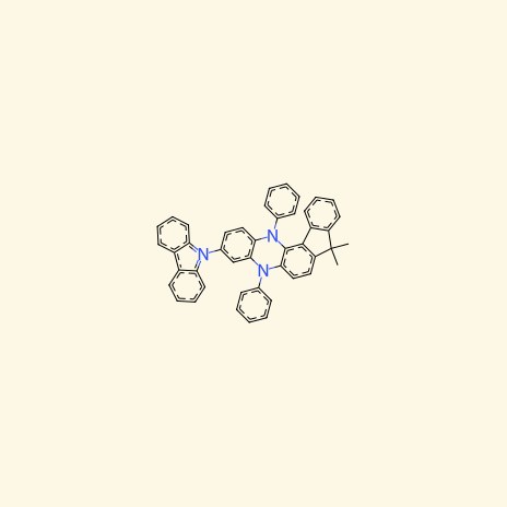 CC1(C)c2ccccc2-c2c1ccc1c2N(c2ccccc2)c2ccc(-n3c4ccccc4c4ccccc43)cc2N1c1ccccc1